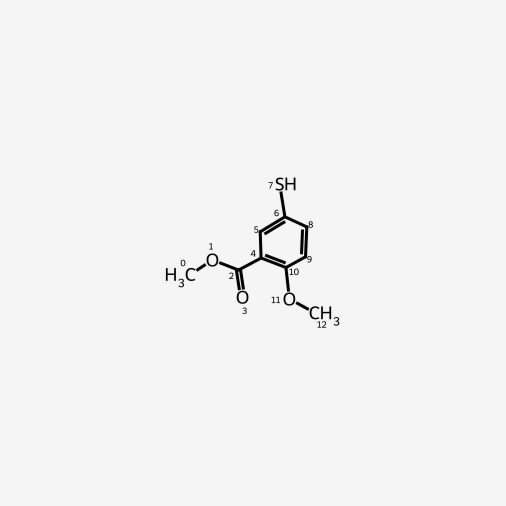 COC(=O)c1cc(S)ccc1OC